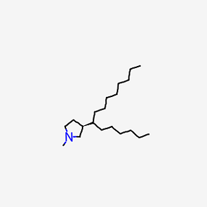 CCCCCCCCC(CCCCCC)[C@@H]1CCN(C)C1